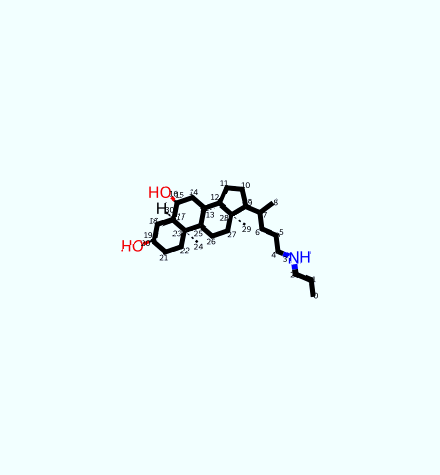 CCCNCCCC(C)C1CCC2C3C[C@H](O)[C@@H]4C[C@H](O)CC[C@]4(C)C3CC[C@]12C